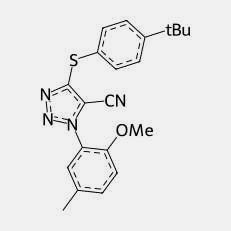 COc1ccc(C)cc1-n1nnc(Sc2ccc(C(C)(C)C)cc2)c1C#N